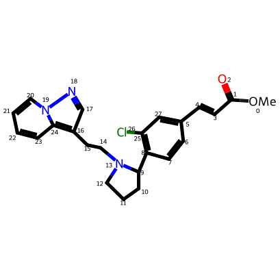 COC(=O)C=Cc1ccc(C2CCCN2CCc2cnn3ccccc23)c(Cl)c1